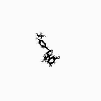 FC(F)(F)/C(Cl)=N\c1ccc(C2=NOC(c3cc(Cl)cc(Cl)c3)(C(F)(F)F)C2)cc1